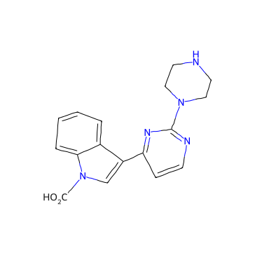 O=C(O)n1cc(-c2ccnc(N3CCNCC3)n2)c2ccccc21